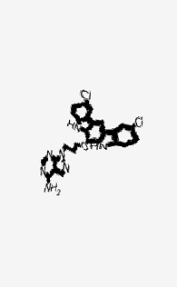 Nc1ncnc2c1cnn2CCCOc1c2[nH]c3ccc(Cl)cc3c2cc2c1[nH]c1ccc(Cl)cc12